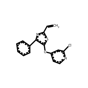 C=Cc1nc(-c2ccccc2)c(Oc2ccnc(Cl)c2)s1